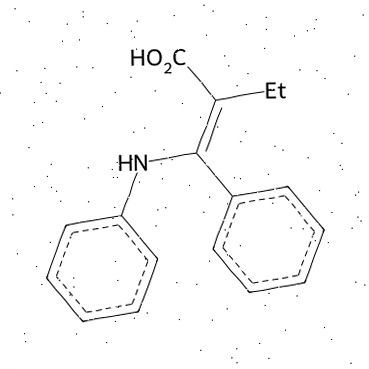 CCC(C(=O)O)=C(Nc1ccccc1)c1ccccc1